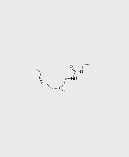 CC/C=C\CCC1CC1CNC(=O)OCC